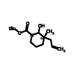 C=CC[C@]1(C)CCCN(C(=O)OC(C)(C)C)C1O